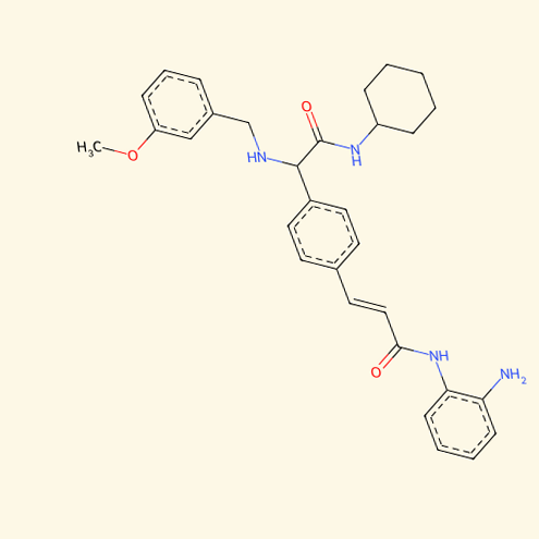 COc1cccc(CNC(C(=O)NC2CCCCC2)c2ccc(/C=C/C(=O)Nc3ccccc3N)cc2)c1